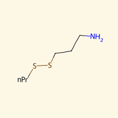 CCCSSCCCN